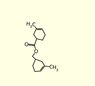 CC1=CCCC(COC(=O)C2CCC=C(C)C2)C1